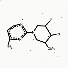 COC1CN(c2nccc(N)n2)CC(F)C1O